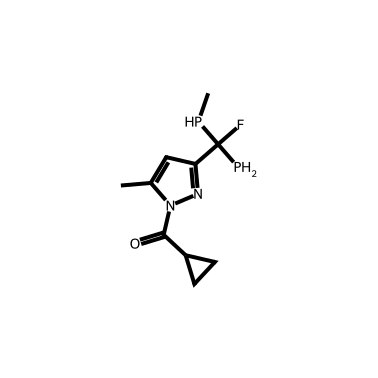 CPC(F)(P)c1cc(C)n(C(=O)C2CC2)n1